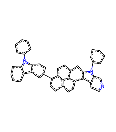 c1ccc(-n2c3ccccc3c3cc(-c4ccc5ccc6c7c(ccc4c57)cc4c6c5ccncc5n4-c4ccccc4)ccc32)cc1